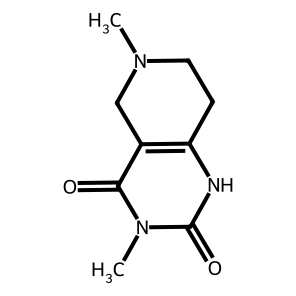 CN1CCc2[nH]c(=O)n(C)c(=O)c2C1